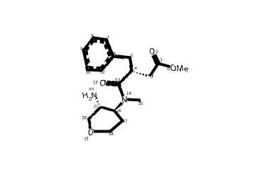 COC(=O)C[C@@H](Cc1ccccc1)C(=O)N(C)[C@H]1CCOC[C@@H]1N